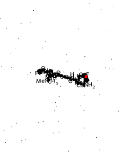 CN[C@H](C)C(=O)N[C@@H](C(=O)N1CCC[C@@H]1C1=NC(C(=O)c2ccc(F)cc2)CS1)C1CCN(C(=O)CCOCCOCCC(=O)NCCn2nc(C#N)c3c2CN(C)C(=O)c2ccc(F)cc2[C@H]2CCCN2c2nc-3cnc2N)CC1